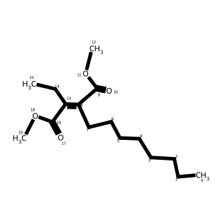 CCCCCCCCC(C(=O)OC)=C(CC)C(=O)OC